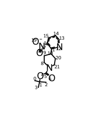 CC(C)(C)OC(=O)N1CCC(c2ncccc2[N+](=O)[O-])CC1